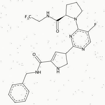 O=C(NCc1ccccc1)C1=CC(c2ncc(F)c(N3CCC[C@@H]3C(=O)NCC(F)(F)F)n2)CN1